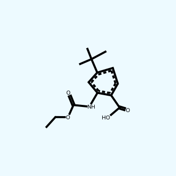 CCOC(=O)Nc1cc(C(C)(C)C)ccc1C(=O)O